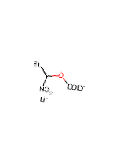 CCC(OC(=O)[O-])[N+](=O)[O-].[Li+]